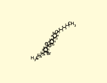 CCCCCCCCOc1ccc(-c2ccc(OC(=O)c3ccc(CCCCC)c(Br)c3)cc2)cc1